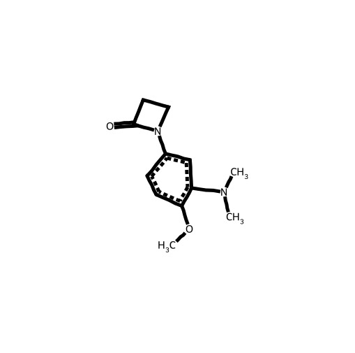 COc1ccc(N2CCC2=O)cc1N(C)C